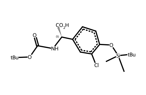 CC(C)(C)OC(=O)N[C@H](C(=O)O)c1ccc(O[Si](C)(C)C(C)(C)C)c(Cl)c1